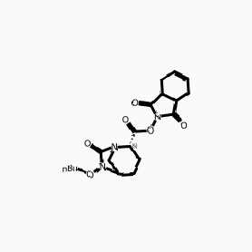 CCCCON1C(=O)N2CC1CC[C@H]2C(=O)ON1C(=O)C2CC=CCC2C1=O